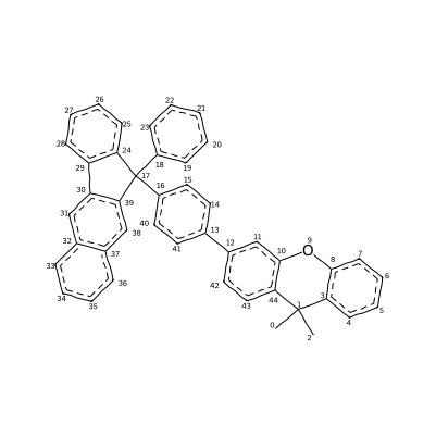 CC1(C)c2ccccc2Oc2cc(-c3ccc(C4(c5ccccc5)c5ccccc5-c5cc6ccccc6cc54)cc3)ccc21